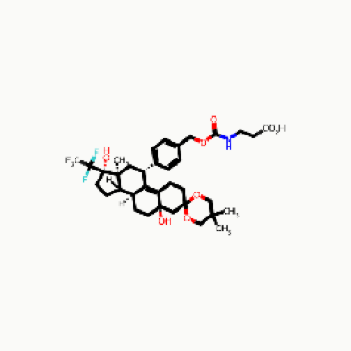 CC1(C)COC2(CCC3=C4[C@@H](CC[C@@]3(O)C2)[C@@H]2CC[C@@](O)(C(F)(F)C(F)(F)F)[C@@]2(C)C[C@@H]4c2ccc(COC(=O)NCCC(=O)O)cc2)OC1